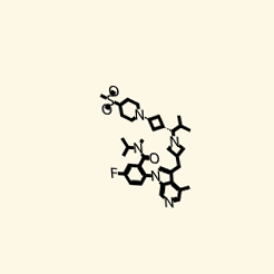 Cc1cncc2c1c(CC1CN(C(C(C)C)[C@H]3C[C@@H](N4CCC(S(C)(=O)=O)CC4)C3)C1)cn2-c1ccc(F)cc1C(=O)N(C)C(C)C